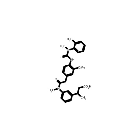 COc1cc(CC(=O)N(C)c2cccc(C(C)CC(=O)O)c2)ccc1NC(=O)N(C)c1ccccc1C